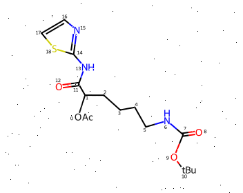 CC(=O)OC(CCCCNC(=O)OC(C)(C)C)C(=O)Nc1nccs1